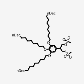 CCCCCCCCCCCCCCCCCCOc1cc(C(COS(C)(=O)=O)COS(C)(=O)=O)cc(OCCCCCCCCCCCCCCCCCC)c1OCCCCCCCCCCCCCCCCCC